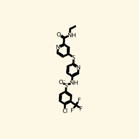 CCNC(=O)c1cc(Sc2ccc(N[S+]([O-])c3ccc(Cl)c(C(F)(F)F)c3)cn2)ccn1